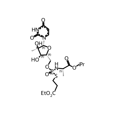 CCOC(=O)CCS[P@@](=O)(N[C@@H](C)C(=O)OC(C)C)OC[C@H]1O[C@@H](n2ccc(=O)[nH]c2=O)[C@](C)(O)[C@@H]1O